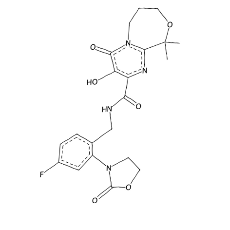 CC1(C)OCCCn2c1nc(C(=O)NCc1ccc(F)cc1N1CCOC1=O)c(O)c2=O